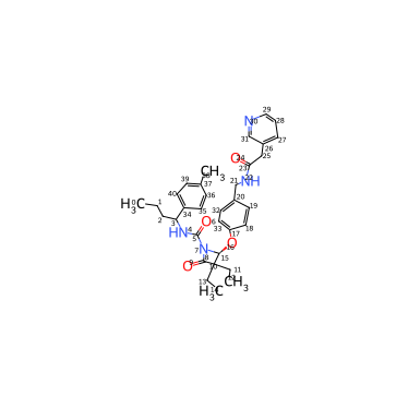 CCCC(NC(=O)N1C(=O)C(CC)(CC)[C@@H]1Oc1ccc(CNC(=O)Cc2cccnc2)cc1)c1ccc(C)cc1